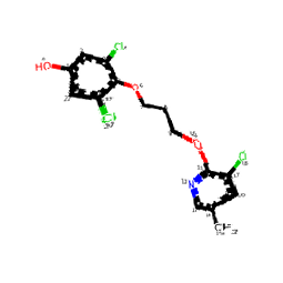 Oc1cc(Cl)c(OCCCOc2ncc(C(F)(F)F)cc2Cl)c(Cl)c1